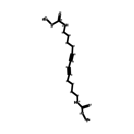 CCCCOC(=O)NCCCCC#CC#CCCCCNC(=O)OCCCC